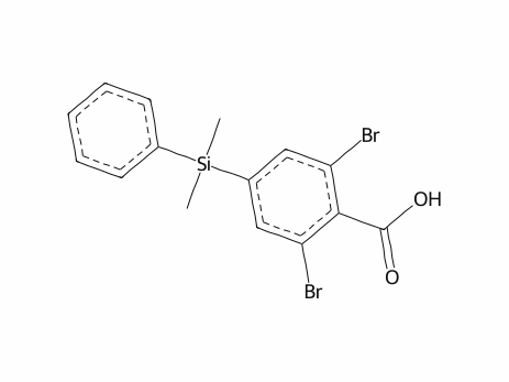 C[Si](C)(c1ccccc1)c1cc(Br)c(C(=O)O)c(Br)c1